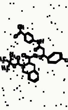 CC(C)(C)OC(=O)N1Cc2ccccc2CC1C(=O)O.O=C(CC(=O)c1ccc(Cl)cc1)Nc1ccc(C(=O)O)cc1